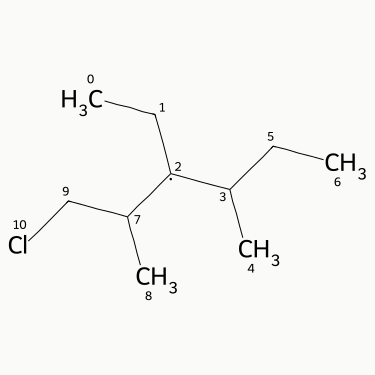 CC[C](C(C)CC)C(C)CCl